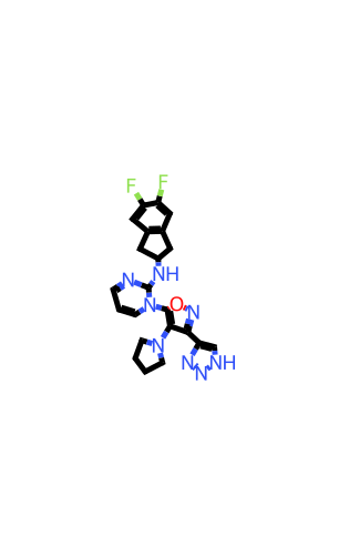 Fc1cc2c(cc1F)CC(NC1N=CC=CN1c1onc(-c3c[nH]nn3)c1N1CCCC1)C2